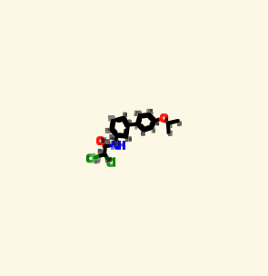 CC(C)Oc1ccc(-c2cccc(NC(=O)C(Cl)Cl)c2)cc1